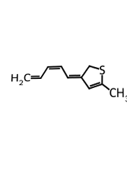 C=C/C=C\C=C1\C=C(C)SC1